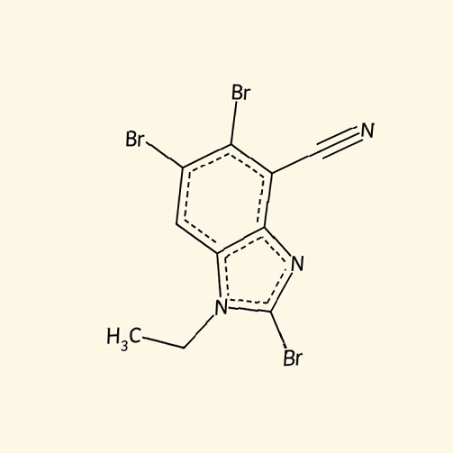 CCn1c(Br)nc2c(C#N)c(Br)c(Br)cc21